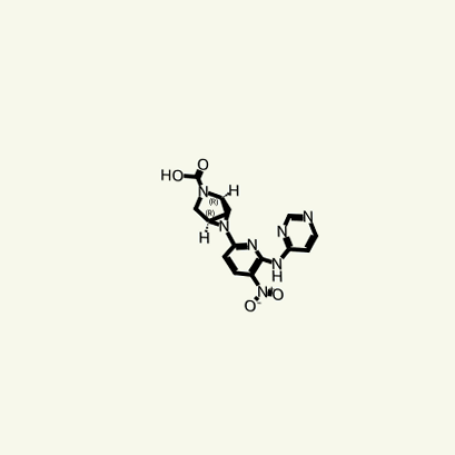 O=C(O)N1C[C@H]2C[C@@H]1CN2c1ccc([N+](=O)[O-])c(Nc2ccncn2)n1